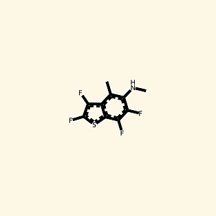 CNc1c(F)c(F)c2sc(F)c(F)c2c1C